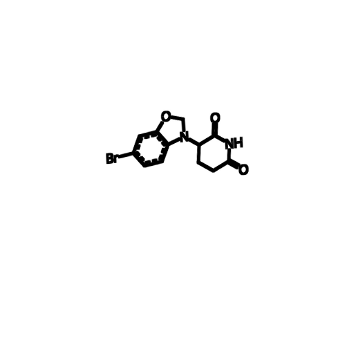 O=C1CCC(N2COc3cc(Br)ccc32)C(=O)N1